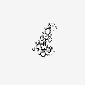 NC1(c2ccccc2Cl)C(=O)N(S(=O)(=O)c2ccc([N+](=O)[O-])cc2)c2ccc(Cl)cc21